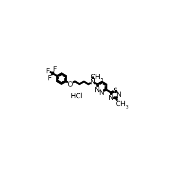 Cc1nsc(-c2ccc(N(C)CCCCOc3ccc(C(F)(F)F)cc3)nn2)n1.Cl